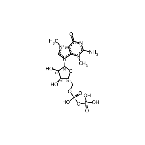 Cn1c(N)nc(=O)c2c1n([C@@H]1O[C@H](COP(=O)(O)OP(=O)(O)O)[C@@H](O)[C@H]1O)c[n+]2C